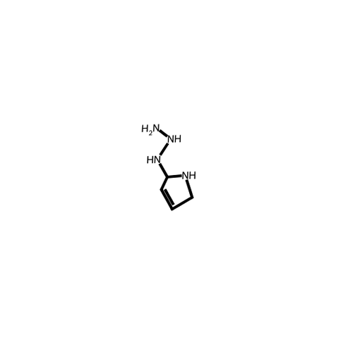 NNNC1C=CCN1